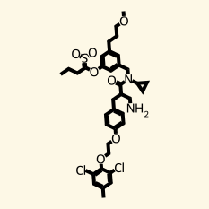 CCCC(Oc1cc(CCCOC)cc(CN(C(=O)C(CN)Cc2ccc(OCCOc3c(Cl)cc(C)cc3Cl)cc2)C2CC2)c1)=S(=O)=O